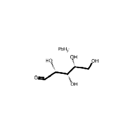 O=C[C@H](O)[C@@H](O)[C@H](O)CO.[PbH2]